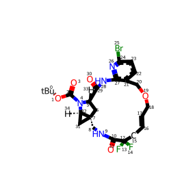 CC(C)(C)OC(=O)N1[C@H]2C[C@@]3(CNC(=O)C(F)(F)C/C=C/COCc4ccc(Br)nc4NC2=O)C[C@@H]13